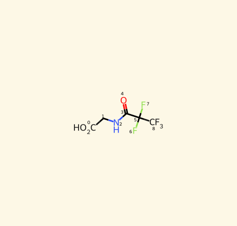 O=C(O)CNC(=O)C(F)(F)C(F)(F)F